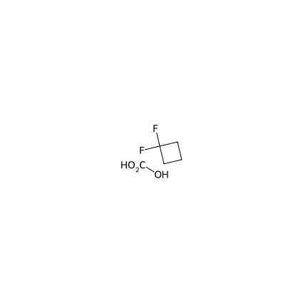 FC1(F)CCC1.O=C(O)O